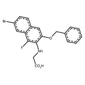 O=C(O)CNc1c(OCc2ccccc2)cc2ccc(Br)cc2c1F